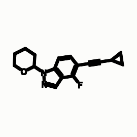 Fc1c(C#CC2CC2)ccc2c1cnn2C1CCCCO1